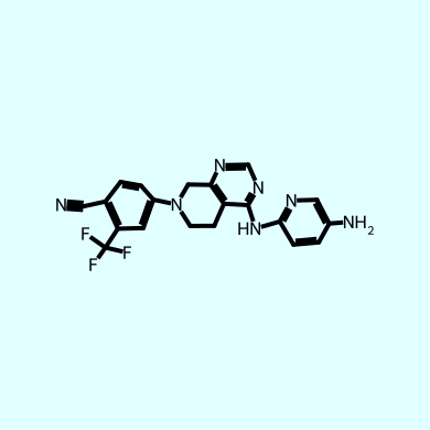 N#Cc1ccc(N2CCc3c(ncnc3Nc3ccc(N)cn3)C2)cc1C(F)(F)F